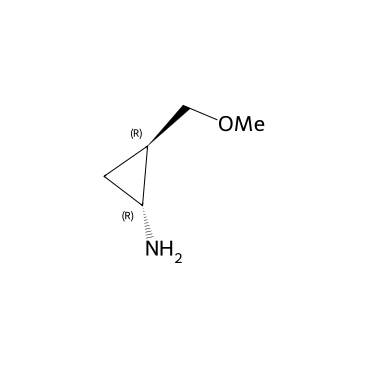 COC[C@@H]1C[C@H]1N